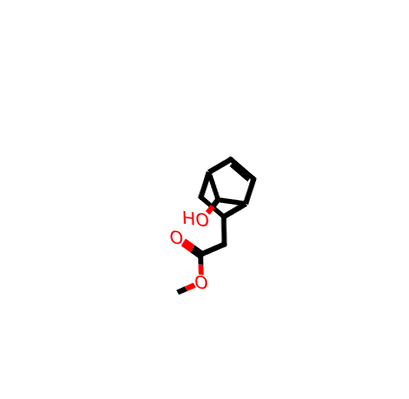 COC(=O)CC1CC2C=CC1C2O